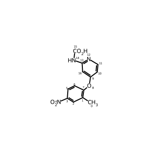 Cc1cc([N+](=O)[O-])ccc1Oc1ccnc(NC(=O)O)c1